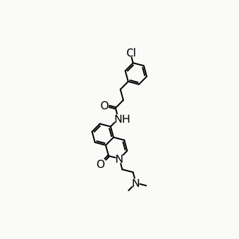 CN(C)CCn1ccc2c(NC(=O)CCc3cccc(Cl)c3)cccc2c1=O